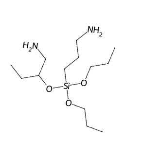 CCCO[Si](CCCN)(OCCC)OC(CC)CN